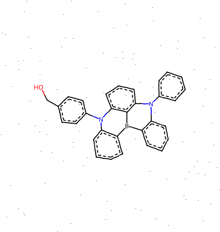 OCc1ccc(N2c3ccccc3B3c4ccccc4N(c4ccccc4)c4cccc2c43)cc1